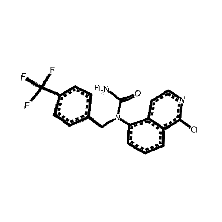 NC(=O)N(Cc1ccc(C(F)(F)F)cc1)c1cccc2c(Cl)nccc12